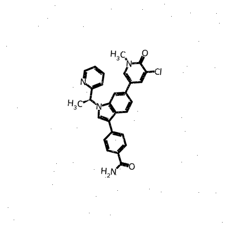 C[C@@H](c1ccccn1)n1cc(-c2ccc(C(N)=O)cc2)c2ccc(-c3cc(Cl)c(=O)n(C)c3)cc21